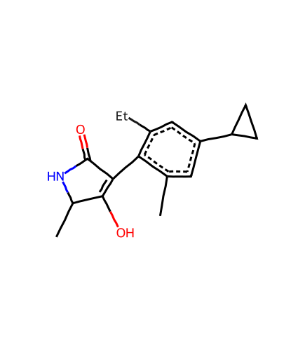 CCc1cc(C2CC2)cc(C)c1C1=C(O)C(C)NC1=O